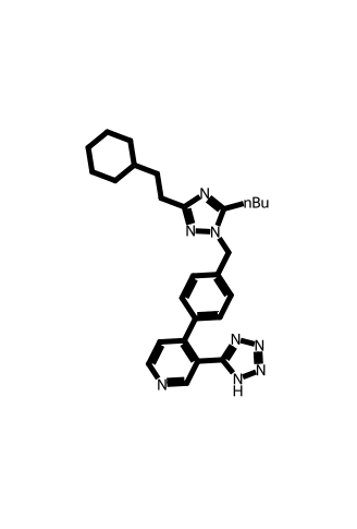 CCCCc1nc(CCC2CCCCC2)nn1Cc1ccc(-c2ccncc2-c2nnn[nH]2)cc1